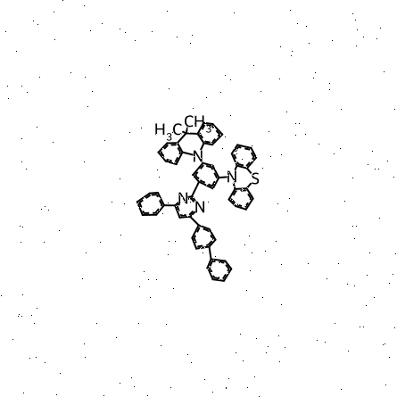 CC1(C)c2ccccc2N(c2cc(-c3nc(-c4ccccc4)cc(-c4ccc(-c5ccccc5)cc4)n3)cc(N3c4ccccc4Sc4ccccc43)c2)c2ccccc21